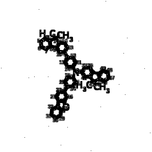 CC1(C)c2ccccc2-c2cc(-c3ccc(N(c4ccc(-c5ccc6c(c5)oc5ccccc56)cc4)c4ccc5c(c4)C(C)(C)c4ccccc4-5)cc3)ccc21